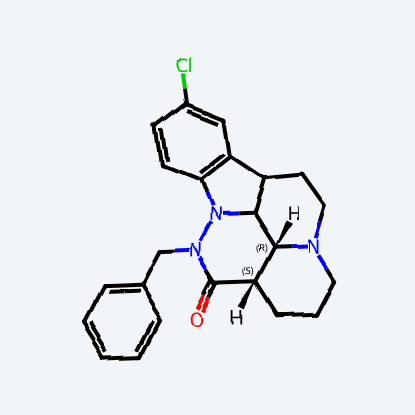 O=C1[C@H]2CCCN3CCC4c5cc(Cl)ccc5N(C4[C@@H]23)N1Cc1ccccc1